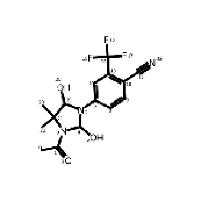 CC(=O)N1C(O)N(c2ccc(C#N)c(C(F)(F)F)c2)C(O)C1(C)C